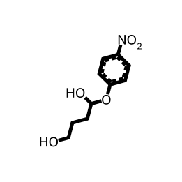 O=[N+]([O-])c1ccc(OC(O)CCCO)cc1